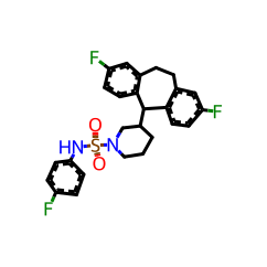 O=S(=O)(Nc1ccc(F)cc1)N1CCCC(C2c3ccc(F)cc3CCc3cc(F)ccc32)C1